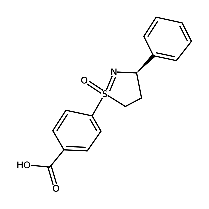 O=C(O)c1ccc(S2(=O)=N[C@@H](c3ccccc3)CC2)cc1